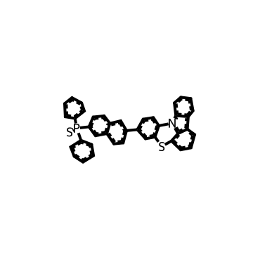 S=P(c1ccccc1)(c1ccccc1)c1ccc2cc(-c3ccc4c(c3)Sc3cccc5c6ccccc6n-4c35)ccc2c1